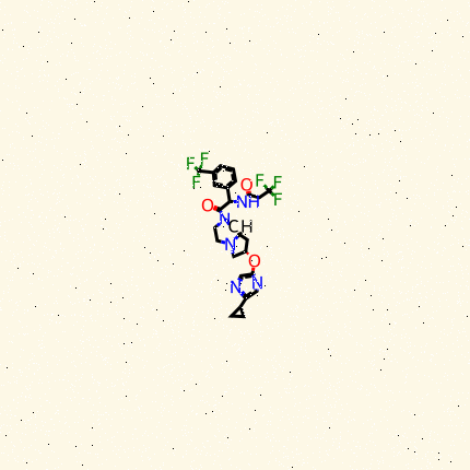 O=C(CC(F)(F)F)NC(C(=O)N1CCN2C[C@H](Oc3cnc(C4CC4)cn3)C[C@H]2C1)c1cccc(C(F)(F)F)c1